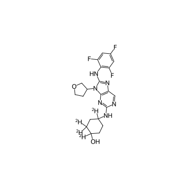 [2H]C1(Nc2ncc3nc(Nc4c(F)cc(F)cc4F)n(C4CCOC4)c3n2)CCC([2H])(O)C([2H])([2H])C1